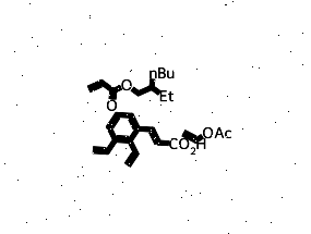 C=CC(=O)OCC(CC)CCCC.C=COC(C)=O.C=Cc1cccc(C=CC(=O)O)c1C=C